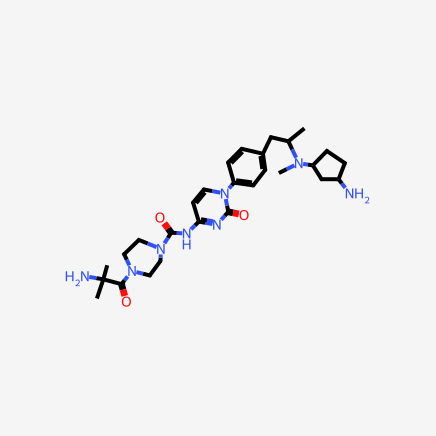 CC(Cc1ccc(-n2ccc(NC(=O)N3CCN(C(=O)C(C)(C)N)CC3)nc2=O)cc1)N(C)C1CCC(N)C1